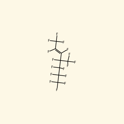 FC(=C(F)C(F)(C(F)(F)F)C(F)(F)C(F)(F)C(F)(F)F)C(F)(F)F